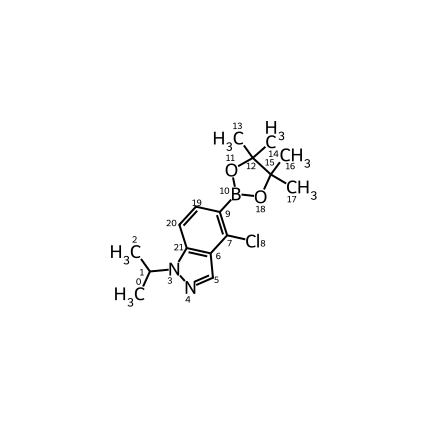 CC(C)n1ncc2c(Cl)c(B3OC(C)(C)C(C)(C)O3)ccc21